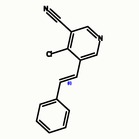 N#Cc1cncc(/C=C/c2ccccc2)c1Cl